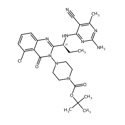 CC[C@H](Nc1nc(N)nc(C)c1C#N)c1nc2cccc(Cl)c2c(=O)n1N1CCN(C(=O)OC(C)(C)C)CC1